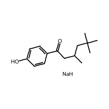 CC(CC(=O)c1ccc(O)cc1)CC(C)(C)C.[NaH]